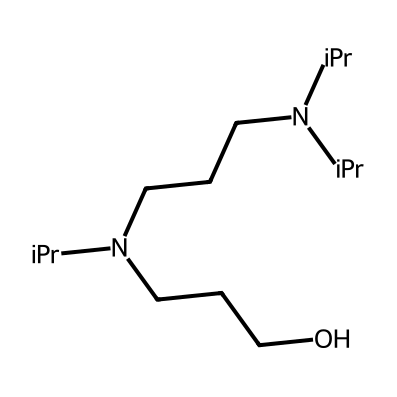 CC(C)N(CCCO)CCCN(C(C)C)C(C)C